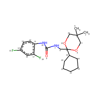 CC1(C)COC(CNC(=O)Nc2ccc(F)cc2F)(C2CCCCC2)OC1